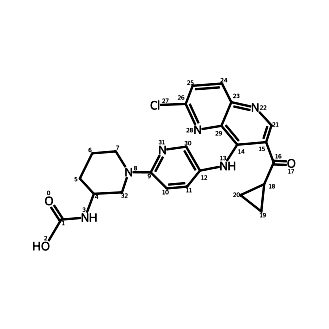 O=C(O)NC1CCCN(c2ccc(Nc3c(C(=O)C4CC4)cnc4ccc(Cl)nc34)cn2)C1